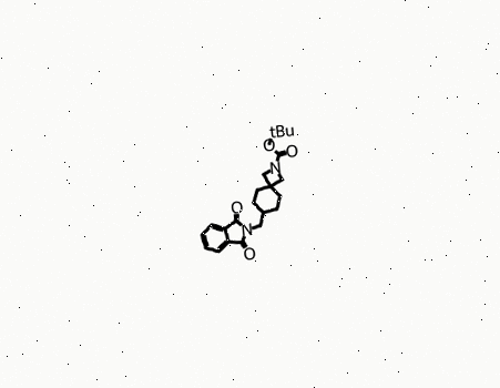 CC(C)(C)OC(=O)N1CC2(CCC(CN3C(=O)c4ccccc4C3=O)CC2)C1